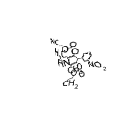 C=CCOC(=O)OC1=C(C)NC(C)=C(OC(=O)OCCC#N)C1c1cccc([N+](=O)[O-])c1